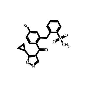 CS(=O)(=O)c1ccccc1Cc1cc(Br)ccc1C(=O)c1cnoc1C1CC1